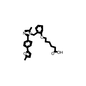 Cc1ccc(-c2ccc(-c3ncc(C)n3Cc3ccccc3OCCCCCC(=O)O)cc2)o1